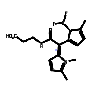 CC1=[N+](C)/C(=C(/C(=O)NCCC(=O)O)c2ccc(C)n2B(F)F)C=C1